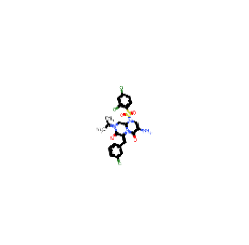 CC(C)N1CC2N(C(=O)C(N)CN2S(=O)(=O)c2ccc(Cl)cc2Cl)C(Cc2cccc(Cl)c2)C1=O